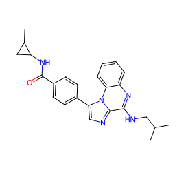 CC(C)CNc1nc2ccccc2n2c(-c3ccc(C(=O)NC4CC4C)cc3)cnc12